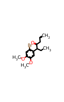 C=CCC(=O)C(CC)c1cc(OC)c(OC)cc1Br